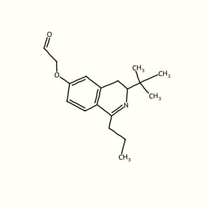 CCCC1=NC(C(C)(C)C)Cc2cc(OCC=O)ccc21